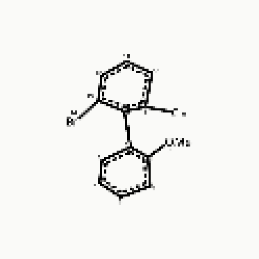 COc1ccccc1-c1c(Cl)cccc1Br